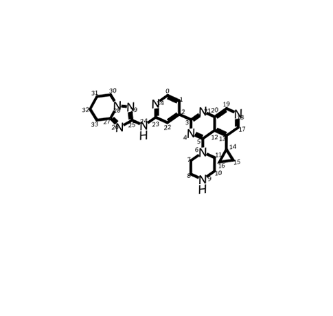 c1cc(-c2nc(N3CCNCC3)c3c(C4CC4)cncc3n2)cc(Nc2nc3n(n2)CCCC3)n1